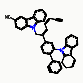 C#C/C=C\C=C(/Cn1c2ccccc2c2cc(C#N)ccc21)c1ccc(-c2c#cccc2)c(-n2c3c(c4ccccc42)C=CCC3)c1